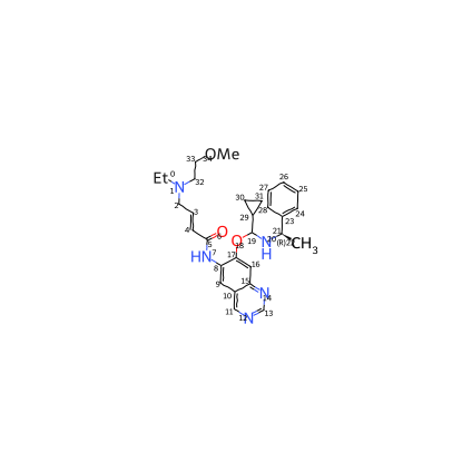 CCN(CC=CC(=O)Nc1cc2cncnc2cc1OC(N[C@H](C)c1ccccc1)C1CC1)CCOC